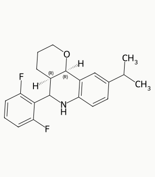 CC(C)c1ccc2c(c1)[C@@H]1OCCC[C@@H]1C(c1c(F)cccc1F)N2